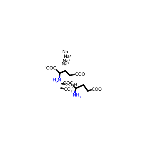 CC(=O)O.CC(=O)O.NC(CCC(=O)[O-])C(=O)[O-].NC(CCC(=O)[O-])C(=O)[O-].[Na+].[Na+].[Na+].[Na+]